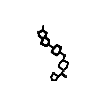 Cc1cc2cc(-c3ccc(OC4CCN(C(=O)C5CCCO5)CC4)cc3)ccc2cn1